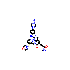 CN(C)C(=O)C#Cc1cc2cnc(Nc3ccc(N4CCNCC4)cc3)nc2n(Cc2ncccc2SN2CCOCC2)c1=O